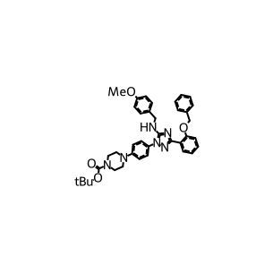 COc1ccc(CNc2nc(-c3ccccc3OCc3ccccc3)nn2-c2ccc(N3CCN(C(=O)OC(C)(C)C)CC3)cc2)cc1